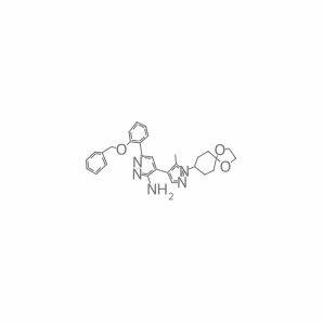 Cc1c(-c2cc(-c3ccccc3OCc3ccccc3)nnc2N)cnn1C1CCC2(CC1)OCCO2